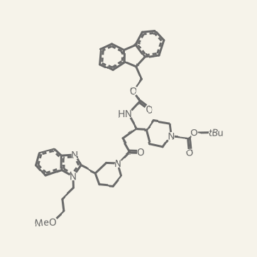 COCCCn1c(C2CCCN(C(=O)CC(NC(=O)OCC3c4ccccc4-c4ccccc43)C3CCN(C(=O)OC(C)(C)C)CC3)C2)nc2ccccc21